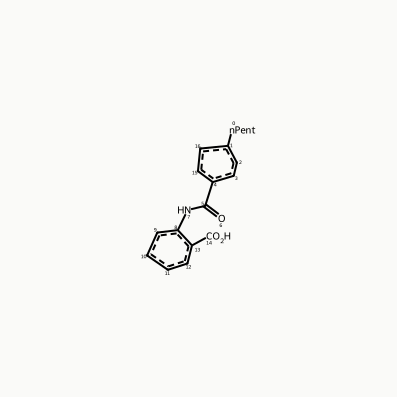 CCCCCc1ccc(C(=O)Nc2ccccc2C(=O)O)cc1